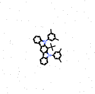 Cc1cc(C)cc(-n2c3ccccc3c3cc4c5ccccc5n(-c5cc(C)cc(C)c5)c4c(C(C)(C)C)c32)c1